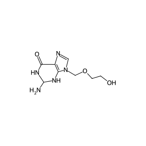 NC1NC(=O)c2ncn(COCCO)c2N1